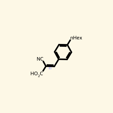 CCCCCCc1ccc(/C=C(\C#N)C(=O)O)cc1